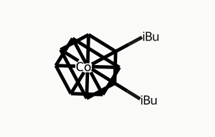 CCC(C)[C]12[CH]3[CH]4[CH]5[C]1(C(C)CC)[Co]43521678[CH]2[CH]1[CH]6[CH]7[CH]28